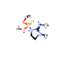 CCCOP(=S)(OCC)N1CCN(CC)C1=NC#N